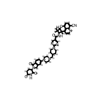 CC1(C)[C@H](NC(=O)c2cnc(N3CCC(CN4CCN(c5ccc6c(c5)CN([C@H]5CCC(=O)NC5=O)C6=O)CC4)CC3)nc2)C2(C)c3ccnc4c(C#N)ccc(c34)O[C@@H]12